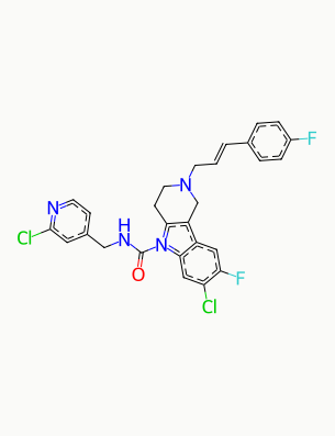 O=C(NCc1ccnc(Cl)c1)n1c2c(c3cc(F)c(Cl)cc31)CN(CC=Cc1ccc(F)cc1)CC2